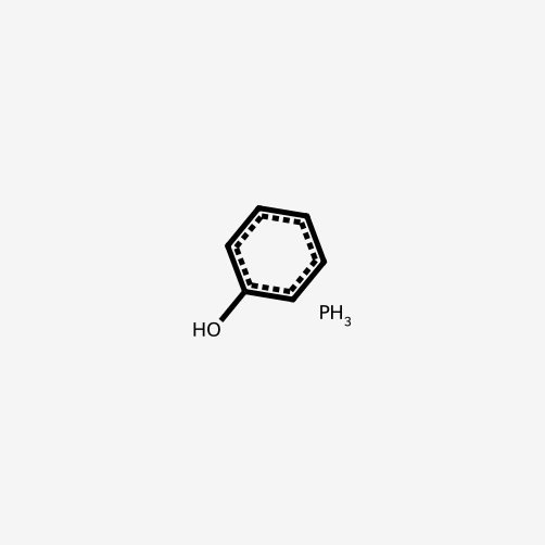 Oc1ccccc1.P